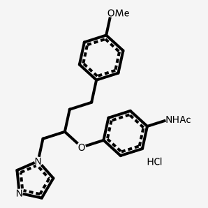 COc1ccc(CCC(Cn2ccnc2)Oc2ccc(NC(C)=O)cc2)cc1.Cl